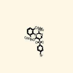 CCCCC1N=CC(S(=O)(=O)c2ccc(Br)cc2)=C(O)N1c1c(OC)cccc1OC